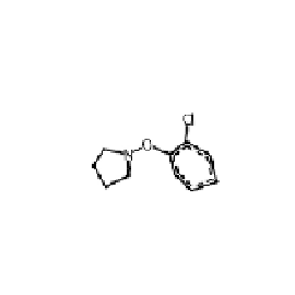 Clc1ccccc1ON1CCCC1